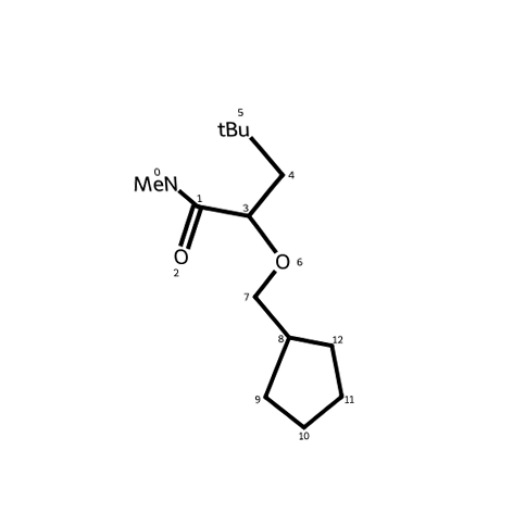 CNC(=O)C(CC(C)(C)C)OCC1CCCC1